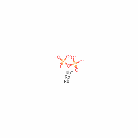 O=P([O-])([O-])OP(=O)([O-])O.[Rb+].[Rb+].[Rb+]